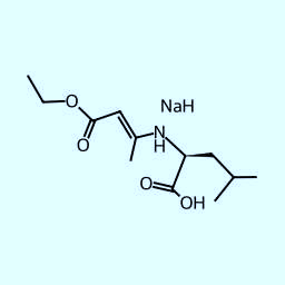 CCOC(=O)/C=C(\C)N[C@@H](CC(C)C)C(=O)O.[NaH]